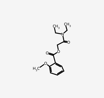 CCN(CC)C(=O)COC(=O)c1ccccc1OC